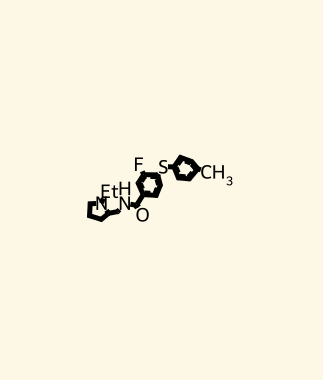 CCN1CCCC1CNC(=O)c1ccc(Sc2ccc(C)cc2)c(F)c1